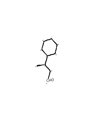 C[C@H](CC=O)C1CCCCC1